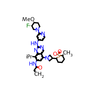 C=CC(=O)Nc1cc(N2CC(C3CCCC(C)S3(=O)=O)C2)c2cnc(Nc3ccnc(N4CC[C@@H](OC)[C@@H](F)C4)c3)nc2c1C(C)C